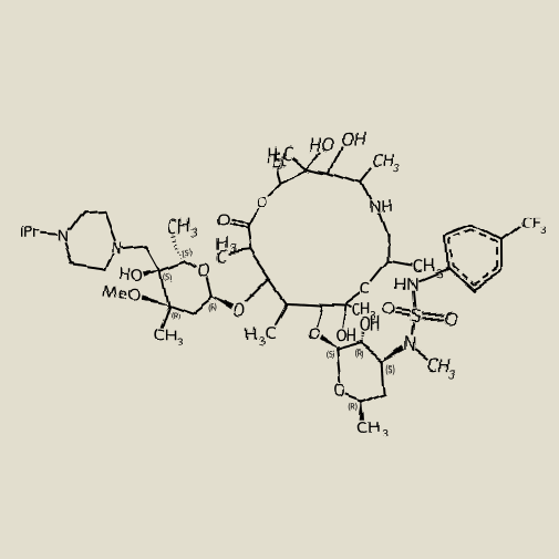 CCC1OC(=O)C(C)C(O[C@H]2C[C@@](C)(OC)[C@](O)(CN3CCN(C(C)C)CC3)[C@H](C)O2)C(C)C(O[C@@H]2O[C@H](C)C[C@H](N(C)S(=O)(=O)Nc3ccc(C(F)(F)F)cc3)[C@H]2O)C(C)(O)CC(C)CNC(C)C(O)C1(C)O